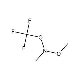 CON(C)OC(F)(F)F